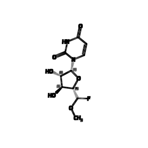 COC(F)[C@H]1O[C@@H](n2ccc(=O)[nH]c2=O)[C@@H](O)[C@@H]1O